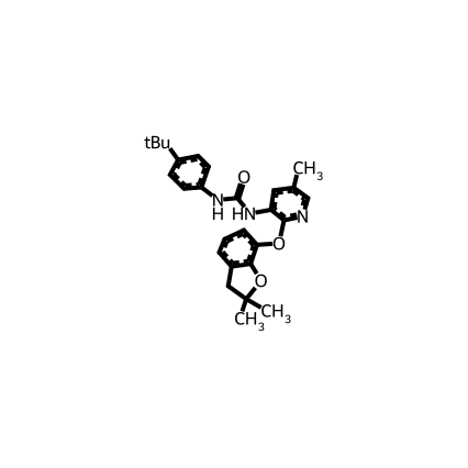 Cc1cnc(Oc2cccc3c2OC(C)(C)C3)c(NC(=O)Nc2ccc(C(C)(C)C)cc2)c1